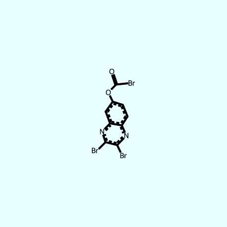 O=C(Br)Oc1ccc2nc(Br)c(Br)nc2c1